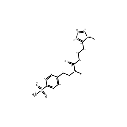 CN(CCc1ccc(S(N)(=O)=O)cc1)C(=S)CCCc1nnnn1C